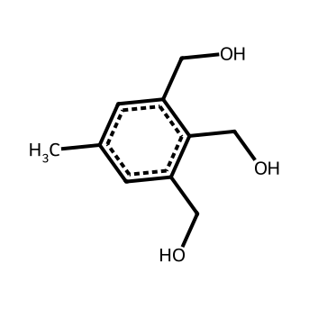 Cc1cc(CO)c(CO)c(CO)c1